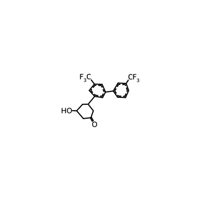 O=C1CC(O)CC(c2cc(-c3cccc(C(F)(F)F)c3)cc(C(F)(F)F)c2)C1